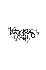 Cc1cc2nc(NC(=O)C[C@](C)(O)c3ccccc3)n(C(C)(C)C)c2nc1C(F)(F)F